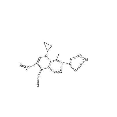 CCOC(=O)C1=CN(C2CC2)c2c(ccc(-c3ccncc3)c2C)C1=C=O